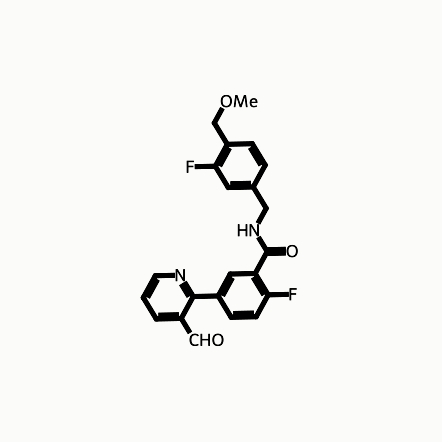 COCc1ccc(CNC(=O)c2cc(-c3ncccc3C=O)ccc2F)cc1F